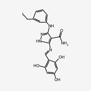 NC(=O)c1c(Nc2cccc(CI)c2)n[nH]c1/N=C/c1c(O)cc(O)cc1O